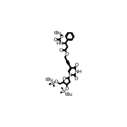 CC(C)(C)OC(=O)NC(CC(=O)OCC#Cc1cn(C2CC(O[Si](C)(C)C(C)(C)C)C(CO[Si](C)(C)C(C)(C)C)O2)c(=O)[nH]c1=O)c1ccccc1